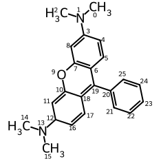 CN(C)c1ccc2c(c1)OC1=CC(N(C)C)C=CC1=C2c1ccccc1